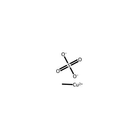 O=S(=O)([O-])[O-].[CH3][Cu+2]